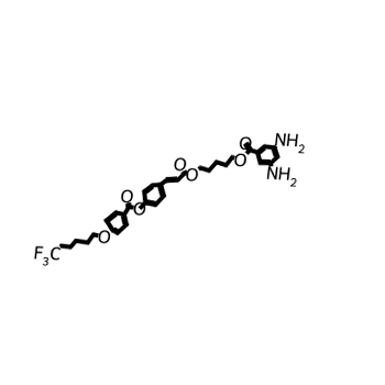 Nc1cc(N)cc(C(=O)OCCCCCOC(=O)C=Cc2ccc(OC(=O)c3ccc(OCCCCCC(F)(F)F)cc3)cc2)c1